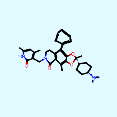 Cc1cc(C)c(CN2CCc3c(c(C)c4c(c3-c3ccccc3)OC(C)([C@H]3CC[C@H](N(C)C)CC3)O4)C2=O)c(=O)[nH]1